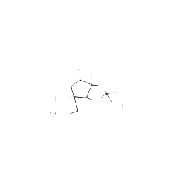 COC[C@]1(C)C[C@H](O)[C@H]2OC(C)(C)OC21